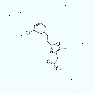 Cc1oc(/C=C/c2cccc(Cl)c2)nc1CC(=O)O